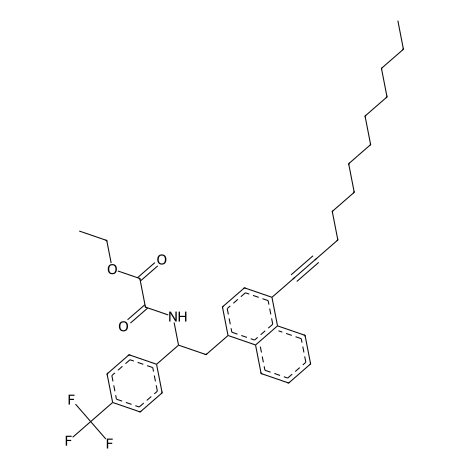 CCCCCCCCCCC#Cc1ccc(CC(NC(=O)C(=O)OCC)c2ccc(C(F)(F)F)cc2)c2ccccc12